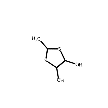 CC1SC(O)C(O)S1